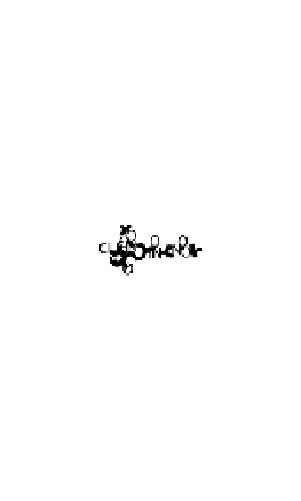 COc1ccc(Cl)c(Cl)c1C1CCC(C(=O)NC2CN(C(=O)OC(C)(C)C)C2)CN1C(=O)OC(C)(C)C